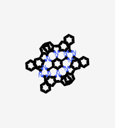 c1ccc(-c2nc(-c3ccccc3)nc(-c3c(-n4c5ccccc5c5ccccc54)c(-n4c5ccccc5c5ccccc54)c(-c4nc(-c5ccccc5)nc(-c5ccccc5)n4)c(-n4c5ccccc5c5ccccc54)c3-n3c4ccccc4c4ccccc43)n2)cc1